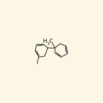 CC1(C2C=CC=C(I)C2)C=CC=CC1